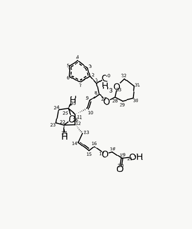 CC(c1ccccc1)C(/C=C/[C@@H]1[C@H](C/C=C\COCC(=O)O)[C@@H]2CC[C@H]1O2)OC1CCCCO1